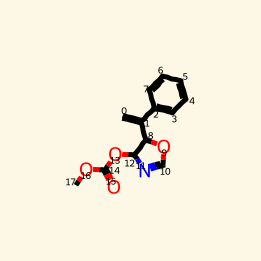 C=C(c1ccccc1)C1OC=NC1OC(=O)OC